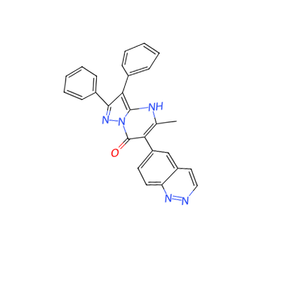 Cc1[nH]c2c(-c3ccccc3)c(-c3ccccc3)nn2c(=O)c1-c1ccc2nnccc2c1